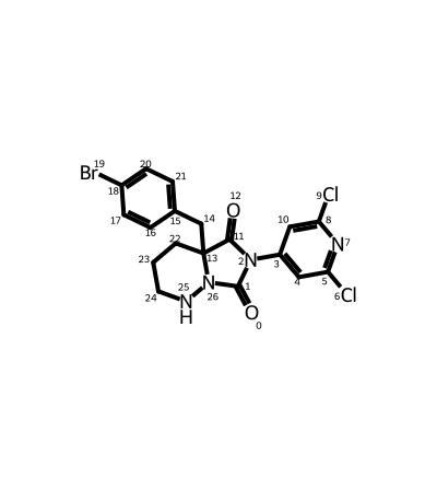 O=C1N(c2cc(Cl)nc(Cl)c2)C(=O)C2(Cc3ccc(Br)cc3)CCCNN12